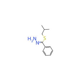 CC(C)CS/C(=N\N)c1ccccc1